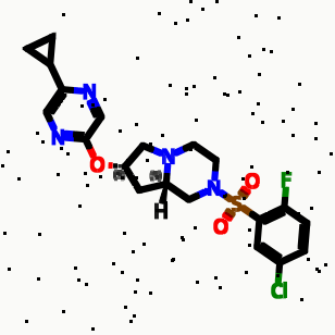 O=S(=O)(c1cc(Cl)ccc1F)N1CCN2C[C@@H](Oc3cnc(C4CC4)cn3)C[C@H]2C1